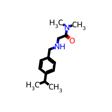 CC(C)c1ccc(CNCC(=O)N(C)C)cc1